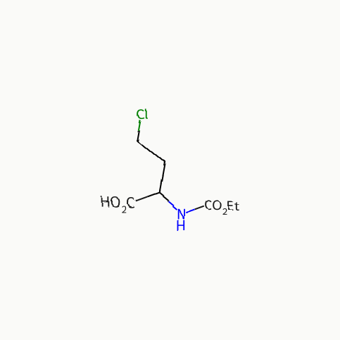 CCOC(=O)NC(CCCl)C(=O)O